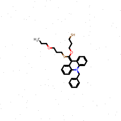 CCCOCCCSC(OCCCS)=C1c2ccccc2N(Cc2ccccc2)c2ccccc21